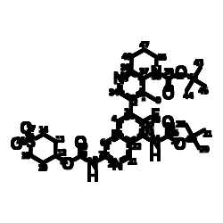 Cc1c(-c2cc3cc(NC(=O)OC4CCS(=O)(=O)CC4)ncc3c(NC(=O)OC(C)(C)C)c2F)cnc2c1N(C(=O)OC(C)(C)C)CCC2